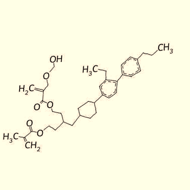 C=C(C)C(=O)OCCC(CCOC(=O)C(=C)COCO)CC1CCC(c2ccc(-c3ccc(CCC)cc3)c(CC)c2)CC1